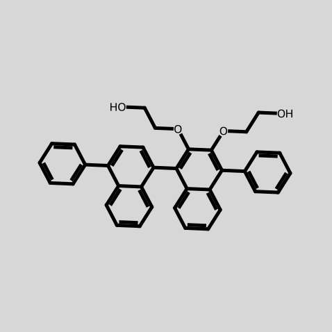 OCCOc1c(OCCO)c(-c2ccc(-c3ccccc3)c3ccccc23)c2ccccc2c1-c1ccccc1